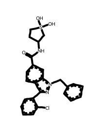 O=C(NC1CCS(O)(O)C1)c1ccc2c(-c3ccccc3Cl)nn(Cc3ccccc3)c2c1